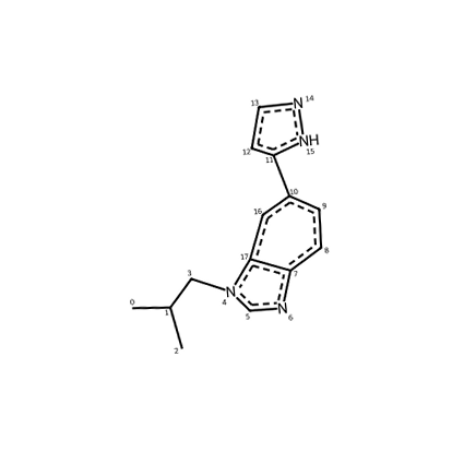 CC(C)Cn1cnc2ccc(-c3ccn[nH]3)cc21